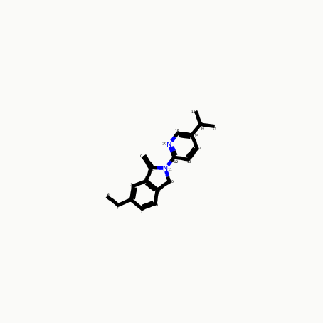 C=C1c2cc(CC)ccc2CN1c1ccc(C(C)C)cn1